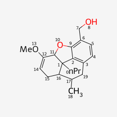 CCCC12c3c4ccc(CO)c3OC1C(OC)=CCC2C(C)C4